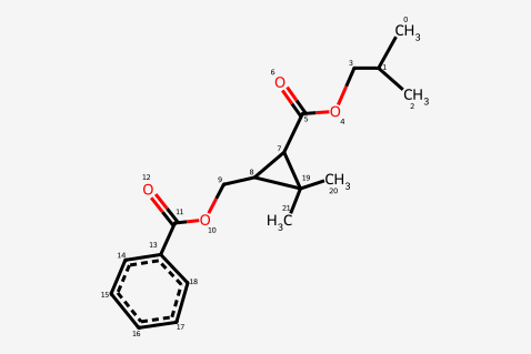 CC(C)COC(=O)C1C(COC(=O)c2ccccc2)C1(C)C